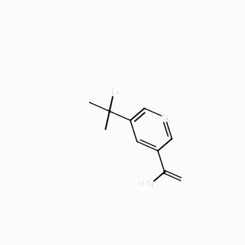 CCC(C)(C)c1cncc(C(N)=O)c1